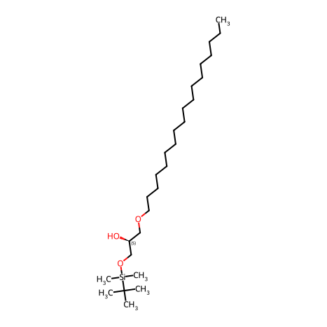 CCCCCCCCCCCCCCCCCCOC[C@H](O)CO[Si](C)(C)C(C)(C)C